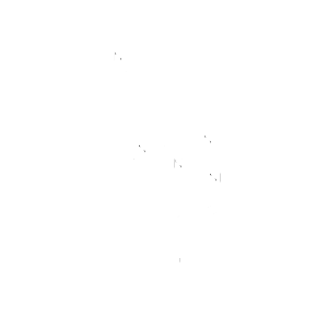 CCc1ccc(Nc2ncc(-c3ccc4ncccc4c3)c(N)n2)cc1